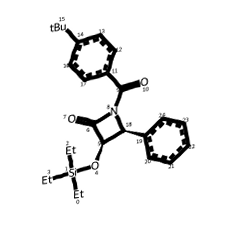 CC[Si](CC)(CC)O[C@H]1C(=O)N(C(=O)c2ccc(C(C)(C)C)cc2)[C@H]1c1ccccc1